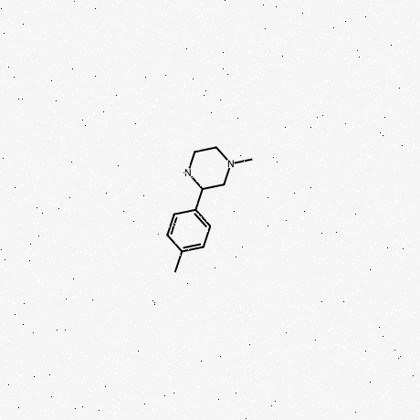 Cc1ccc(C2CN(C)CC[N]2)cc1